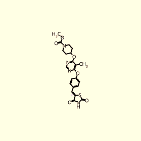 COC(=O)N1CCC(Oc2ncnc(Oc3ccc(/C=C4\SC(=O)NC4=O)cc3)c2C)CC1